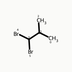 C[C](C)C(Br)Br